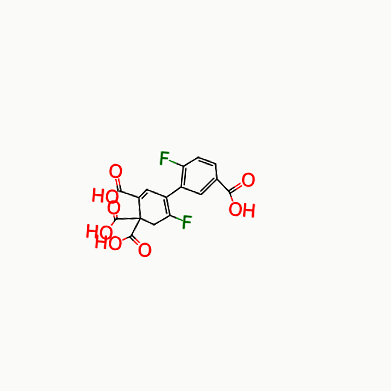 O=C(O)C1=CC(c2cc(C(=O)O)ccc2F)=C(F)CC1(C(=O)O)C(=O)O